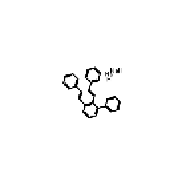 C(=Cc1cccc(-c2ccccc2)c1C=Cc1ccccc1)c1ccccc1.[NaH].[NaH]